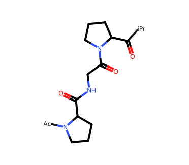 CC(=O)N1CCCC1C(=O)NCC(=O)N1CCCC1C(=O)C(C)C